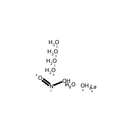 O.O.O.O.O.O.O=NO.[La]